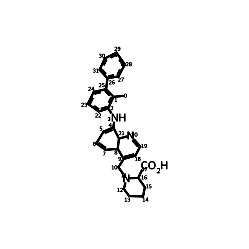 Cc1c(NC2=CC=CC3C(CN4CCCCC4C(=O)O)=CC=NC23)cccc1-c1ccccc1